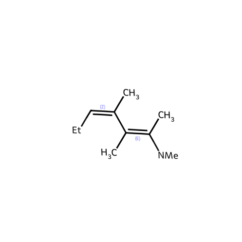 CC/C=C(C)\C(C)=C(/C)NC